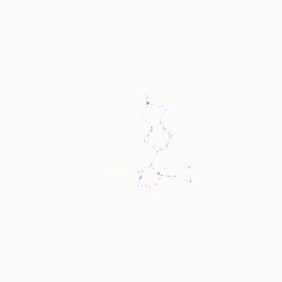 CCCCOCc1noc(C2CC2)c1-c1ccc2c(c1)CC(=O)N2